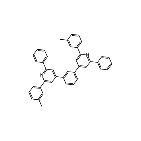 Cc1cccc(-c2cc(-c3cccc(-c4cc(-c5ccccc5)nc(-c5cccc(C)c5)c4)c3)cc(-c3ccccc3)n2)c1